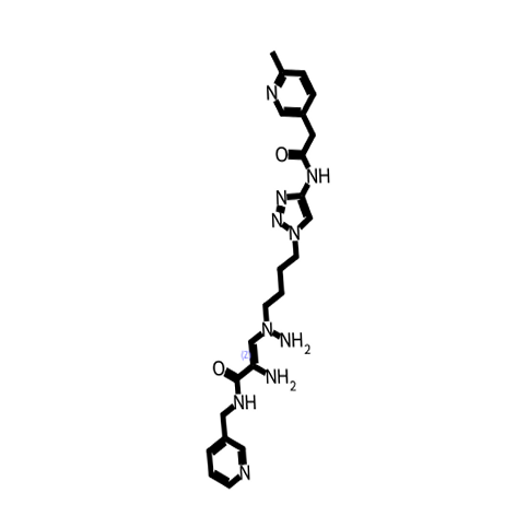 Cc1ccc(CC(=O)Nc2cn(CCCCN(N)/C=C(\N)C(=O)NCc3cccnc3)nn2)cn1